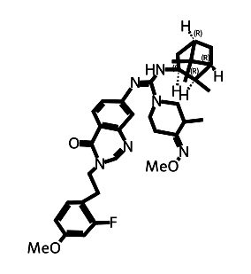 CON=C1CCN(C(=Nc2ccc3c(=O)n(CCc4ccc(OC)cc4F)cnc3c2)N[C@H]2C[C@H]3C[C@H]([C@H]2C)C3(C)C)CC1C